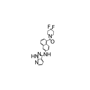 O=C(c1cccc2cc(Nc3n[nH]c4ncccc34)ccc12)N1CCC(F)(F)CC1